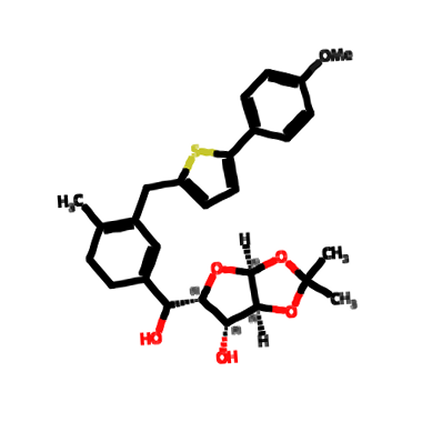 COc1ccc(-c2ccc(CC3=C(C)CCC(C(O)[C@@H]4O[C@H]5OC(C)(C)O[C@H]5[C@@H]4O)=C3)s2)cc1